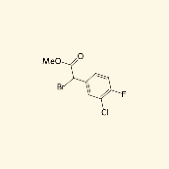 COC(=O)C(Br)c1ccc(F)c(Cl)c1